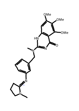 COc1cc2[nH]c(N(C)Cc3cccc(/N=C4\CCCN4C)c3)nc(=O)c2c(OC)c1OC